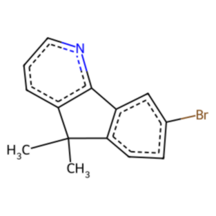 CC1(C)c2ccc(Br)cc2-c2ncccc21